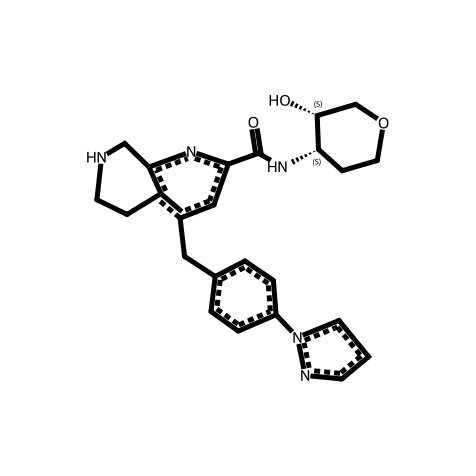 O=C(N[C@H]1CCOC[C@H]1O)c1cc(Cc2ccc(-n3cccn3)cc2)c2c(n1)CNCC2